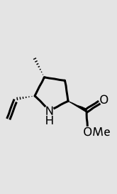 C=C[C@H]1N[C@H](C(=O)OC)C[C@H]1C